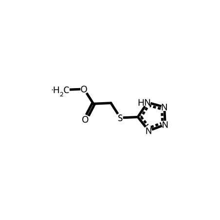 [CH2]OC(=O)CSc1nnn[nH]1